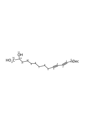 CCCCCCCCCCC#CC#CCCCCCCCC(O)C(=O)O